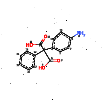 Nc1ccc(C(C(=O)O)(C(=O)O)c2ccccc2)cc1